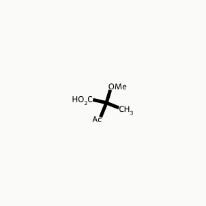 COC(C)(C(C)=O)C(=O)O